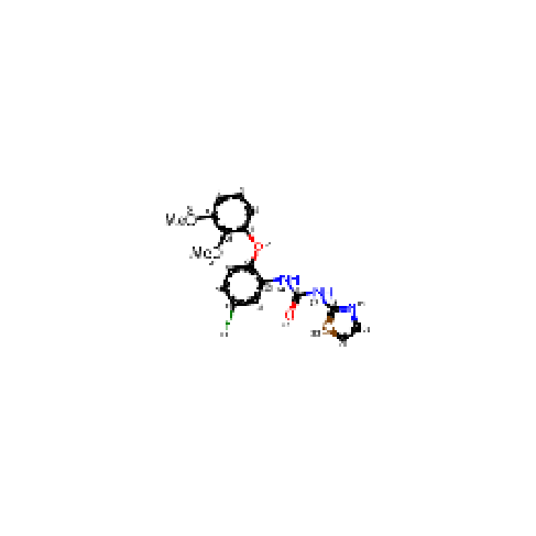 COc1cccc(Oc2ccc(F)cc2NC(=O)Nc2n[c]cs2)c1OC